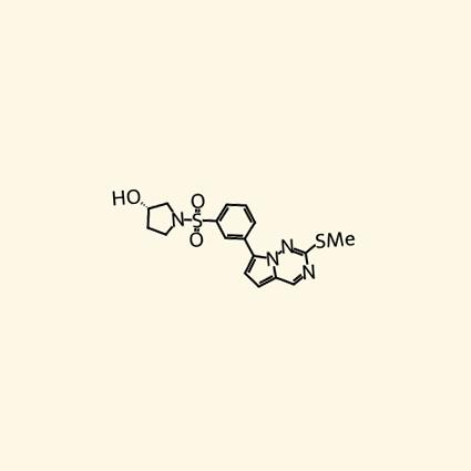 CSc1ncc2ccc(-c3cccc(S(=O)(=O)N4CC[C@H](O)C4)c3)n2n1